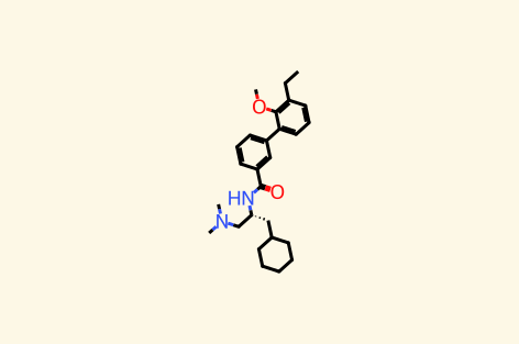 CCc1cccc(-c2cccc(C(=O)N[C@H](CC3CCCCC3)CN(C)C)c2)c1OC